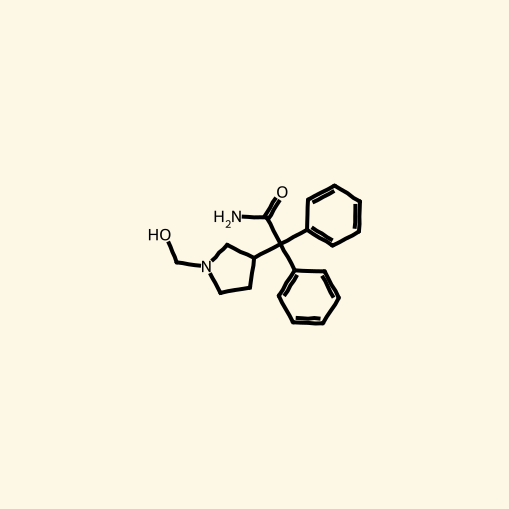 NC(=O)C(c1ccccc1)(c1ccccc1)C1CCN(CO)C1